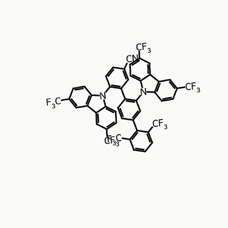 N#Cc1ccc(-n2c3ccc(C(F)(F)F)cc3c3cc(C(F)(F)F)ccc32)c(-c2ccc(-c3c(C(F)(F)F)cccc3C(F)(F)F)cc2-n2c3ccc(C(F)(F)F)cc3c3cc(C(F)(F)F)ccc32)c1